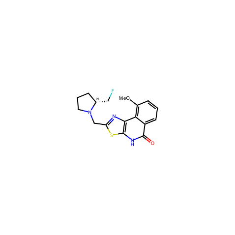 COc1cccc2c(=O)[nH]c3sc(CN4CCC[C@@H]4CF)nc3c12